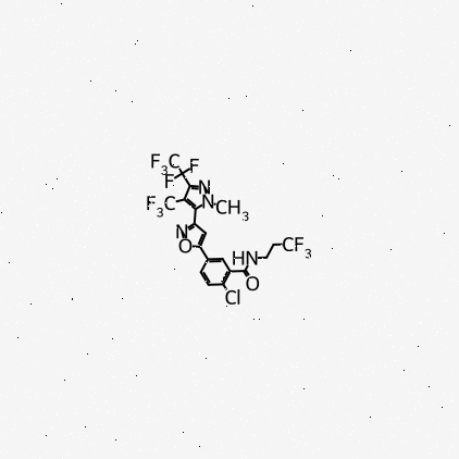 Cn1nc(C(F)(F)C(F)(F)F)c(C(F)(F)F)c1-c1cc(-c2ccc(Cl)c(C(=O)NCCC(F)(F)F)c2)on1